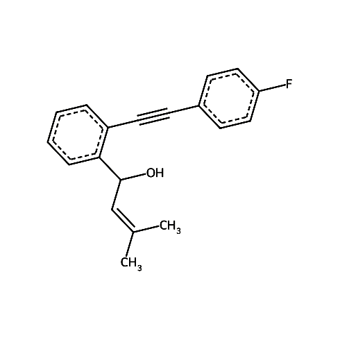 CC(C)=CC(O)c1ccccc1C#Cc1ccc(F)cc1